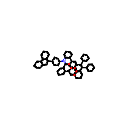 c1ccc(-c2c(-c3ccccc3)c3cc(-c4ccccc4N(c4ccc(-c5cc6ccccc6c6ccccc56)cc4)c4cc5ccccc5c5ccccc45)ccc3c3ccccc23)cc1